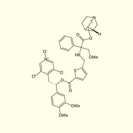 COCC(NCc1ccc(C(=O)O[C@@H](Cc2c(Cl)c[n+]([O-])cc2Cl)c2ccc(OC)c(OC)c2)s1)(C(=O)O[C@H]1CN2CCC1CC2)c1ccccc1